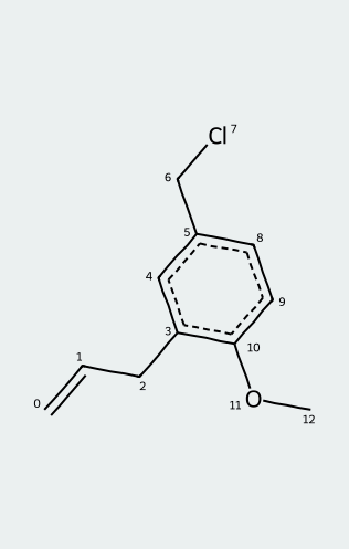 C=CCc1cc(CCl)ccc1OC